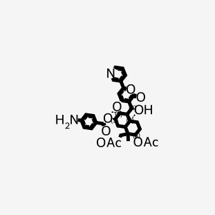 CC(=O)OCC1(C)C2C[C@H](OC(=O)c3ccc(N)cc3)[C@@]3(C)Oc4cc(-c5cccnc5)oc(=O)c4[C@H](O)C3[C@@]2(C)CC[C@@H]1OC(C)=O